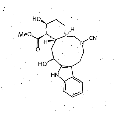 COC(=O)[C@@H]1[C@H]2CC(O)c3[nH]c4ccccc4c3CCN(C#N)C[C@@H]2CC[C@@H]1O